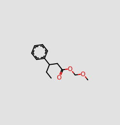 CCC(CC(=O)OCOC)c1ccccc1